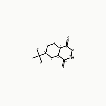 CC(C)(C)N1CCN2C(=O)CNC(=O)C2C1